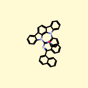 c1ccc(-n2c3ccccc3c3ccc4c5ccccc5n(-c5nc(-c6cccc7ccccc67)c6ccccc6n5)c4c32)cc1